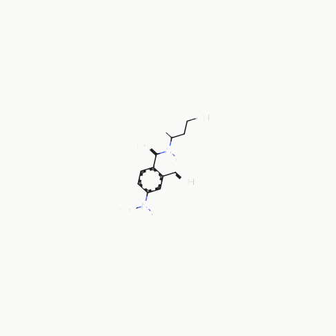 C=Cc1cc(N(C)C)ccc1C(=C)N(C)C(C=O)CCC=O